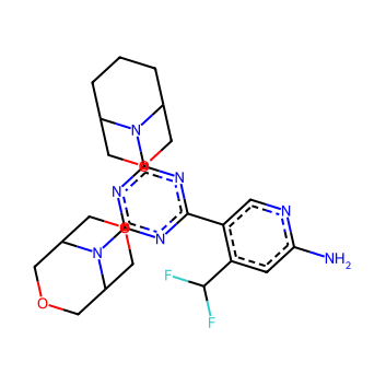 Nc1cc(C(F)F)c(-c2nc(N3C4CCCC3COC4)nc(N3C4COCC3COC4)n2)cn1